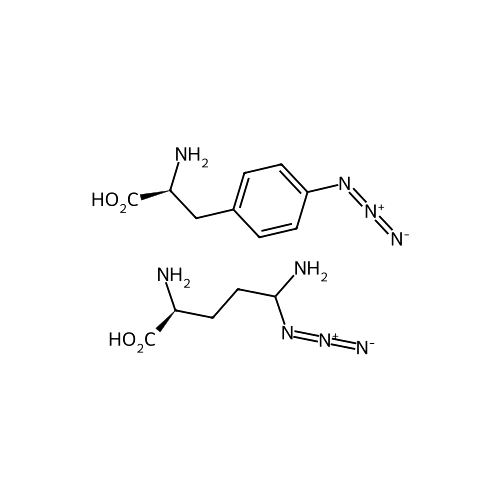 [N-]=[N+]=NC(N)CC[C@H](N)C(=O)O.[N-]=[N+]=Nc1ccc(C[C@H](N)C(=O)O)cc1